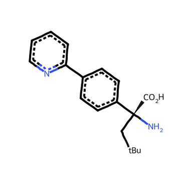 CC(C)(C)C[C@](N)(C(=O)O)c1ccc(-c2ccccn2)cc1